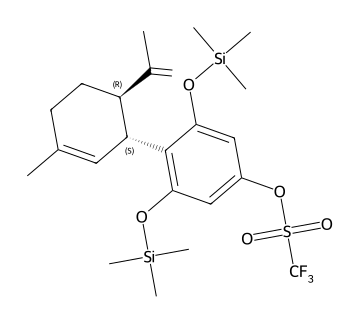 C=C(C)[C@@H]1CCC(C)=C[C@H]1c1c(O[Si](C)(C)C)cc(OS(=O)(=O)C(F)(F)F)cc1O[Si](C)(C)C